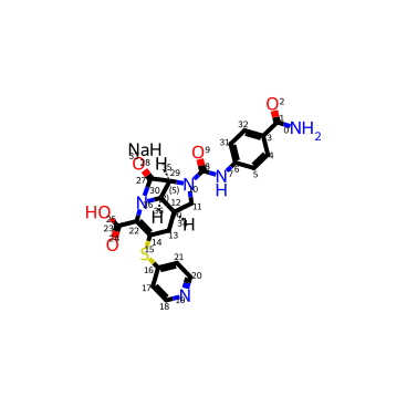 NC(=O)c1ccc(NC(=O)N2C[C@H]3CC(Sc4ccncc4)=C(C(=O)O)N4C(=O)[C@@H]2[C@@H]34)cc1.[NaH]